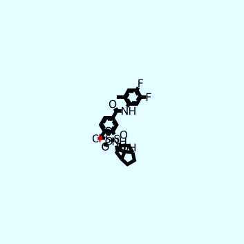 Cc1cc(F)c(F)cc1NC(=O)c1ccc(Cl)c(S(=O)(=O)[C@H]2CC3CCC(C2)[C@]3(O)CNS(C)(=O)=O)c1